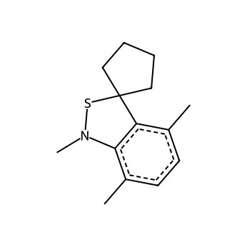 Cc1ccc(C)c2c1N(C)SC21CCCC1